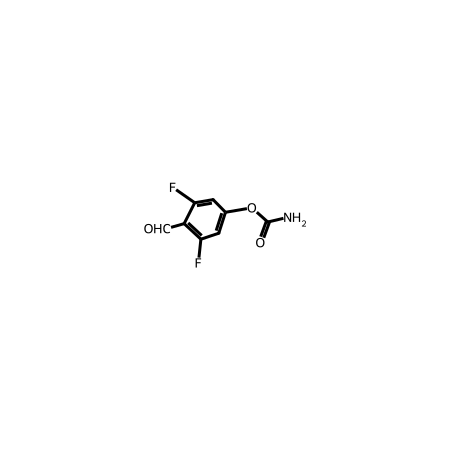 NC(=O)Oc1cc(F)c(C=O)c(F)c1